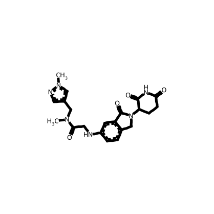 CN(Cc1cnn(C)c1)C(=O)CNc1ccc2c(c1)C(=O)N(C1CCC(=O)NC1=O)C2